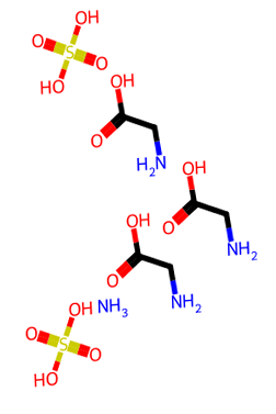 N.NCC(=O)O.NCC(=O)O.NCC(=O)O.O=S(=O)(O)O.O=S(=O)(O)O